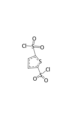 O=S(=O)(Cl)c1ccc(S(=O)(=O)Cl)s1